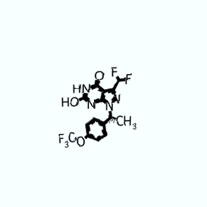 C[C@@H](c1ccc(OC(F)(F)F)cc1)n1nc(C(F)F)c2c(=O)[nH]c(O)nc21